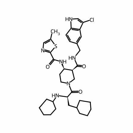 Cc1cnc(C(=O)N[C@@H]2CCN(C(=O)[C@@H](CC3CCCCC3)NC3CCCCC3)C[C@@H]2C(=O)NCc2ccc3[nH]cc(Cl)c3c2)s1